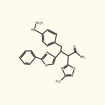 Cc1noc(C(C(N)=O)C(Cc2ccc(NS(=O)(=O)O)cc2)c2csc(-c3ccccc3)n2)n1